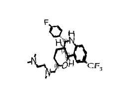 CN(C)CCN(C)C[C@H]1CC[C@@H]2[C@H](O1)c1cc(C(F)(F)F)ccc1N[C@H]2C1C=CC(F)=CC1